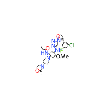 C=CC(=O)Nc1cc(Nc2cc(N3OCC[C@@H]3c3cc(F)cc(Cl)c3)ncn2)c(OC)cc1N1CCC(N2CCO[C@@H](C)C2)CC1